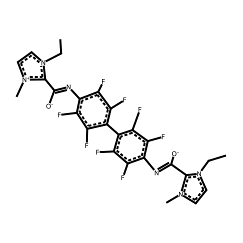 CCn1cc[n+](C)c1/C([O-])=N/c1c(F)c(F)c(-c2c(F)c(F)c(/N=C(\[O-])c3n(CC)cc[n+]3C)c(F)c2F)c(F)c1F